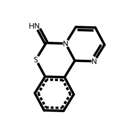 N=C1Sc2ccccc2C2N=CC=CN12